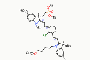 CCCCN1/C(=C\C=C2/CCCC(/C=C/C3=[N+](CCCCCOC=O)c4ccc(C)cc4C3(C)CCCC)=C2Cl)C(C)(CCP(=O)(OCC)OCC)c2cc(S(=O)(=O)O)ccc21